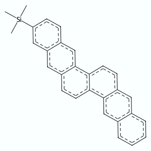 C[Si](C)(C)c1ccc2cc3c(ccc4c5cc6ccccc6cc5ccc34)cc2c1